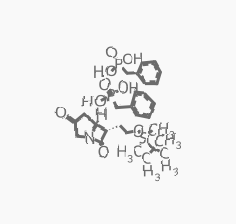 CC(C)(C)[Si](C)(C)OCC[C@@H]1C(=O)N2CC(=O)C[C@H]12.O=P(O)(O)Cc1ccccc1.O=P(O)(O)Cc1ccccc1